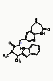 CC(c1cc2ccccc2[nH]1)N(C)C(=O)/C=C/c1cnc2c(c1)CNCC(=O)N2